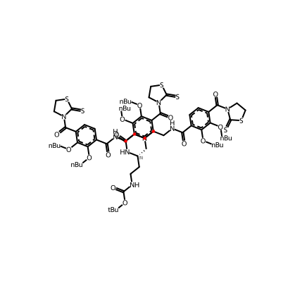 CCCCOc1c(C(=O)NCCN(CCNC(=O)c2ccc(C(=O)N3CCSC3=S)c(OCCCC)c2OCCCC)C[C@H](CCNC(=O)OC(C)(C)C)NC(=O)c2ccc(C(=O)N3CCSC3=S)c(OCCCC)c2OCCCC)ccc(C(=O)N2CCSC2=S)c1OCCCC